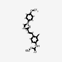 Cc1cc(NC(=O)OC(C)(C)C)ccc1C=Cc1ncn(-c2ccc(OC(F)(F)F)cc2)n1